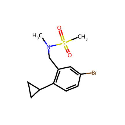 CN(Cc1cc(Br)ccc1C1[CH]C1)S(C)(=O)=O